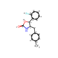 O=C1NC(Cc2ccc(C(F)(F)F)cc2)C(c2ccccc2F)O1